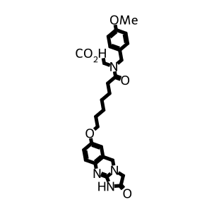 COc1ccc(CN(CC(=O)O)C(=O)CCCCCCOc2ccc3c(c2)CN2CC(=O)NC2=N3)cc1